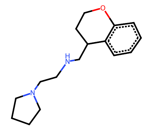 c1ccc2c(c1)OCCC2CNCCN1CCCC1